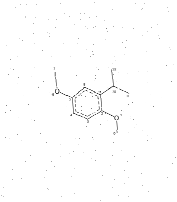 COc1ccc(OI)cc1C(C)C